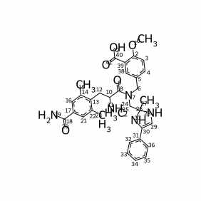 COc1ccc(CN(C(=O)C(N)Cc2c(C)cc(C(N)=O)cc2C)[C@@H](C)C2(C)NC=C(c3ccccc3)N2)cc1C(=O)O